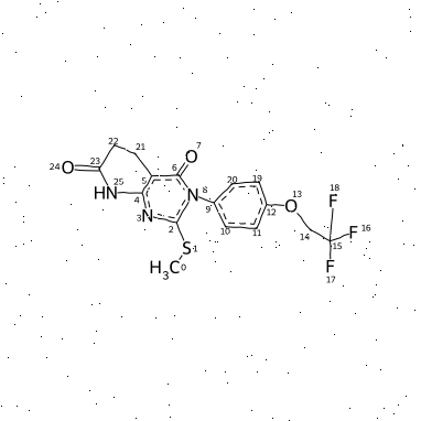 CSc1nc2c(c(=O)n1-c1ccc(OCC(F)(F)F)cc1)CCC(=O)N2